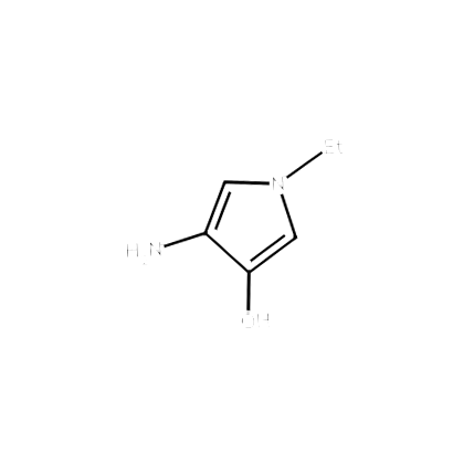 CCn1cc(N)c(O)c1